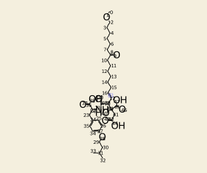 COCCCCCCC(=O)CCCCCC/C=C/[C@H](C(=O)N[C@@H](Cc1ccc(OCCC(C)C)cc1)C(=O)O)[C@@](O)(CC(=O)O)C(=O)O